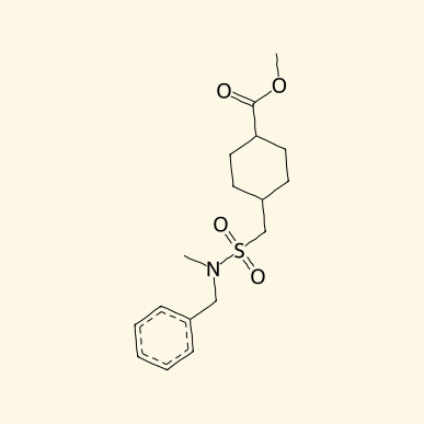 COC(=O)C1CCC(CS(=O)(=O)N(C)Cc2ccccc2)CC1